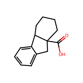 O=C(O)C12CCCCC1c1ccccc1C2